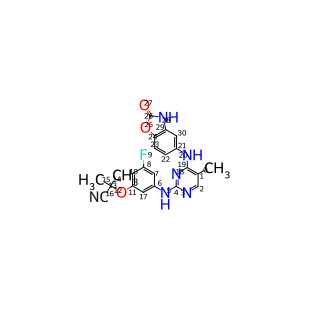 Cc1cnc(Nc2cc(F)cc(OC(C)(C)C#N)c2)nc1Nc1ccc2oc(=O)[nH]c2c1